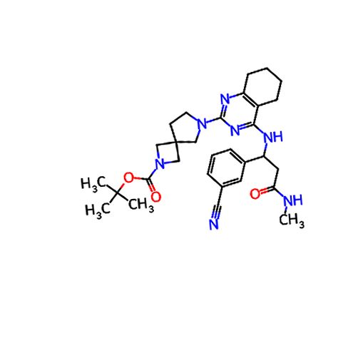 CNC(=O)CC(Nc1nc(N2CCC3(CN(C(=O)OC(C)(C)C)C3)C2)nc2c1CCCC2)c1cccc(C#N)c1